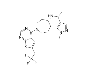 C[C@@H](N[C@@H]1CCCN(c2ncnc3sc(CC(F)(F)F)cc23)CC1)c1cnn(C)c1